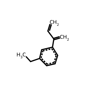 C=CC(=C)c1cccc(CC)c1